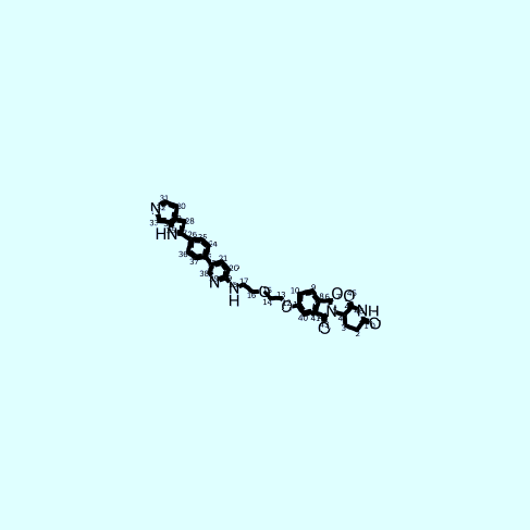 O=C1CCC(N2C(=O)c3ccc(OCCOCCNc4ccc(-c5ccc(-c6cc7ccncc7[nH]6)cc5)cn4)cc3C2=O)C(=O)N1